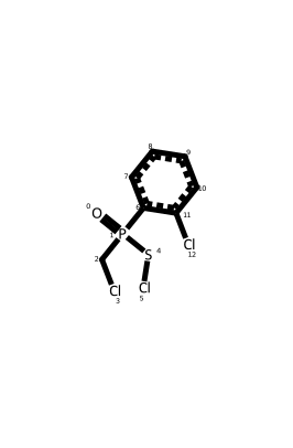 O=P(CCl)(SCl)c1ccccc1Cl